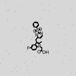 Cc1c(Cc2ccnc(S(=O)(=O)c3ccccc3)n2)c2cc(F)ccc2n1CC(=O)O